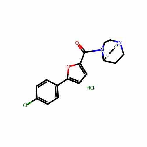 Cl.O=C(c1ccc(-c2ccc(Cl)cc2)o1)N1CCN2CCC1CC2